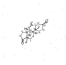 C=C1C[C@@H]2[C@H](CC[C@]3(C)C(=O)CC[C@@H]23)[C@@]2(C)CCC(=O)CC12